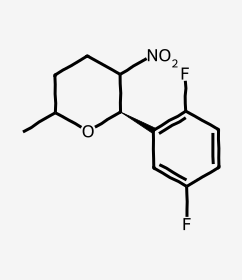 CC1CCC([N+](=O)[O-])[C@@H](c2cc(F)ccc2F)O1